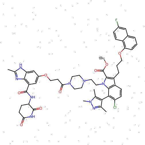 Cc1nc2c(C(=O)NC3CCC(=O)NC3=O)cc(OCCC(=O)N3CCN(CCn4c(C(=O)OC(C)(C)C)c(CCCOc5cccc6cc(F)ccc56)c5ccc(Cl)c(-c6c(C)nn(C)c6C)c54)CC3)cc2[nH]1